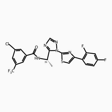 C[C@H](NC(=O)c1cc(Cl)cc(C(F)(F)F)c1)c1ncnn1-c1nc(-c2ccc(F)cc2F)cs1